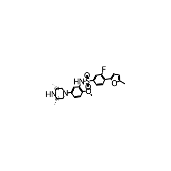 COc1ccc(N2C[C@@H](C)N[C@@H](C)C2)cc1NS(=O)(=O)c1ccc(-c2ccc(C)o2)c(F)c1